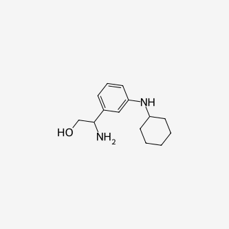 NC(CO)c1cccc(NC2CCCCC2)c1